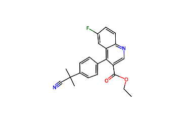 CCOC(=O)c1cnc2ccc(F)cc2c1-c1ccc(C(C)(C)C#N)cc1